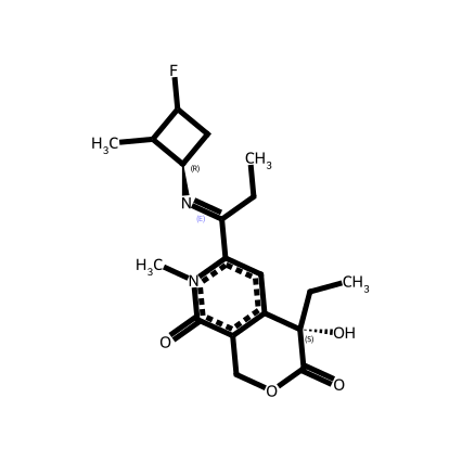 CC/C(=N\[C@@H]1CC(F)C1C)c1cc2c(c(=O)n1C)COC(=O)[C@]2(O)CC